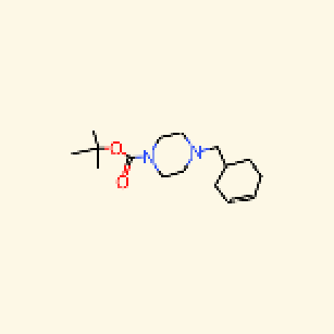 CC(C)(C)OC(=O)N1CCN(CC2CC=CCC2)CC1